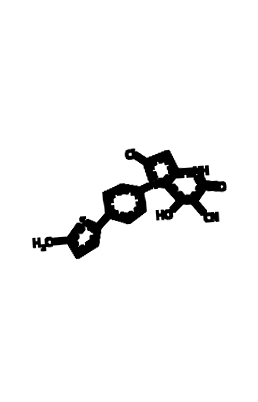 Cc1ccc(-c2ccc(-n3c(Cl)cc4[nH]c(=O)c(C#N)c(O)c43)cc2)s1